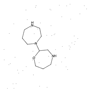 C1CNC[C](N2CCCNCC2)OC1